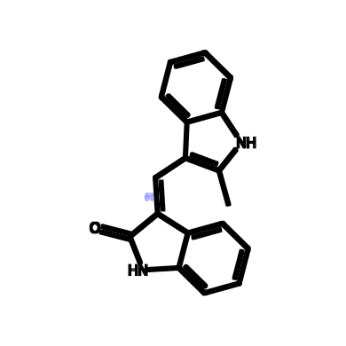 Cc1[nH]c2ccccc2c1/C=C1/C(=O)Nc2ccccc21